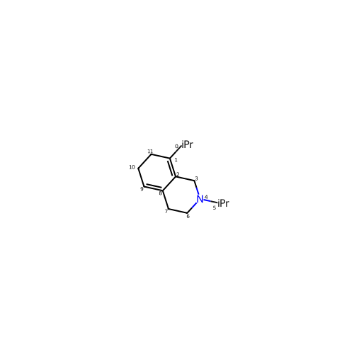 CC(C)C1=C2CN(C(C)C)CCC2=CCC1